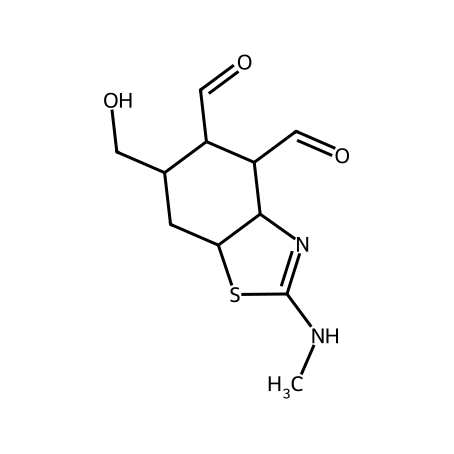 CNC1=NC2C(CC(CO)C(C=O)C2C=O)S1